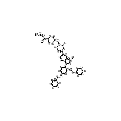 C[C@H]1CN(c2ccc3c(-c4ccc(OCc5ccccc5)nc4OCc4ccccc4)nn(C)c3c2)CCN1CC1CCN(C(=O)OC(C)(C)C)CC1